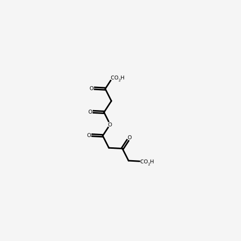 O=C(O)CC(=O)CC(=O)OC(=O)CC(=O)C(=O)O